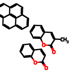 Cc1cc2ccccc2oc1=O.O=c1ccc2ccccc2o1.c1cc2ccc3cccc4ccc(c1)c2c34